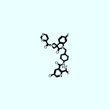 O=C(NC1CCC(CN2C(=O)C3(CN(C(=O)c4ccncn4)C3)c3ccc(F)cc32)CC1)c1cc(Cl)cnc1C(F)F